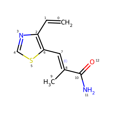 C=Cc1ncsc1/C=C(\C)C(N)=O